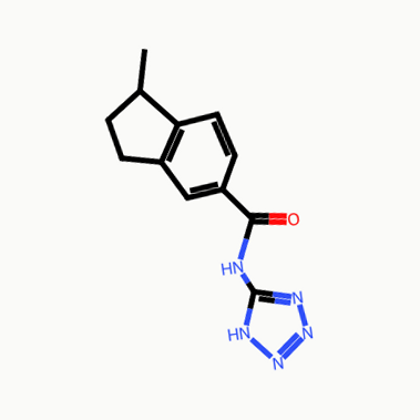 CC1CCc2cc(C(=O)Nc3nnn[nH]3)ccc21